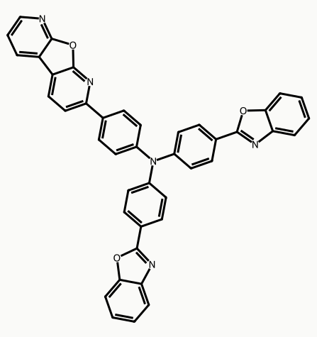 c1ccc2oc(-c3ccc(N(c4ccc(-c5ccc6c(n5)oc5ncccc56)cc4)c4ccc(-c5nc6ccccc6o5)cc4)cc3)nc2c1